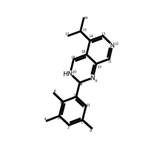 Cc1cc(C)c(C)c(C2N=c3cncc(C(C)C)c3=CN2)c1